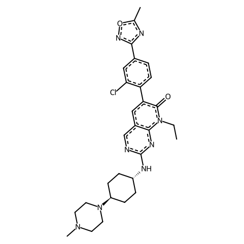 CCn1c(=O)c(-c2ccc(-c3noc(C)n3)cc2Cl)cc2cnc(N[C@H]3CC[C@H](N4CCN(C)CC4)CC3)nc21